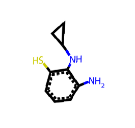 Nc1cccc(S)c1NC1CC1